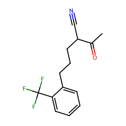 CC(=O)C(C#N)CCCc1ccccc1C(F)(F)F